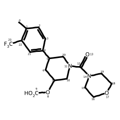 Cc1ccc(C2CC(OC(=O)O)CN(C(=O)N3CCOCC3)C2)cc1C(F)(F)F